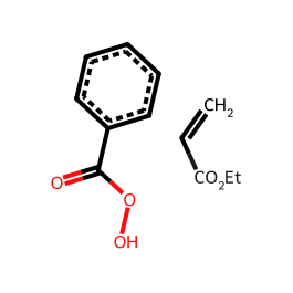 C=CC(=O)OCC.O=C(OO)c1ccccc1